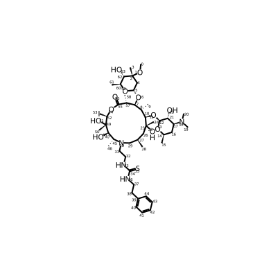 CO[C@]1(C)C[C@H](O[C@H]2[C@H](C)[C@@H](O[C@@H]3O[C@H](C)C[C@H](N(C)C)[C@H]3O)[C@](C)(O)C[C@@H](C)CN(CCNC(=S)NCCc3ccccc3)[C@H](C)[C@@H](O)[C@](C)(O)[C@@H](I)OC(=O)[C@@H]2C)O[C@@H](C)[C@@H]1O